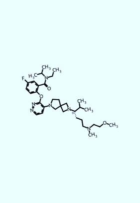 CCN(C(=O)c1cc(F)ccc1Oc1nnccc1N1CCC2(C1)CN([C@@H](CCCN(C)CCOC)C(C)C)C2)C(C)C